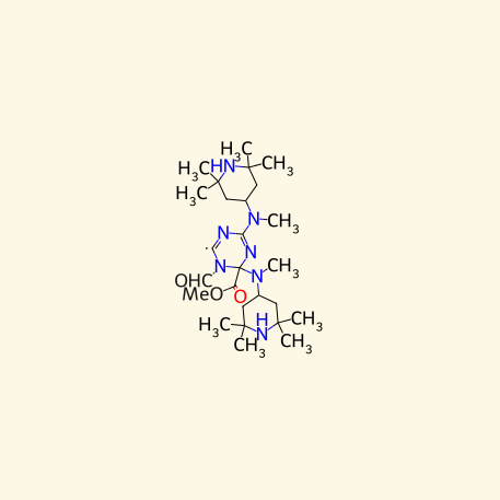 COC(=O)C1(N(C)C2CC(C)(C)NC(C)(C)C2)N=C(N(C)C2CC(C)(C)NC(C)(C)C2)N=[C]N1C=O